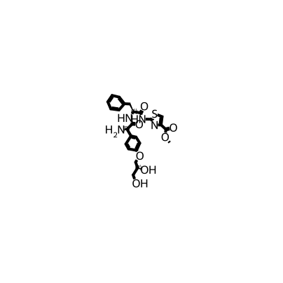 COC(=O)c1csc(NC(=O)[C@H](Cc2ccccc2)NC(=O)[C@H](N)c2ccc(OC[C@H](O)CO)cc2)n1